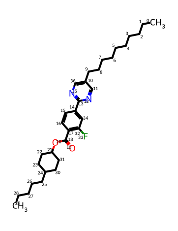 CCCCCCCCCCc1cnc(-c2ccc(C(=O)OC3CCC(CCCCC)CC3)c(F)c2)nc1